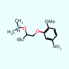 COc1ccc([N+](=O)[O-])cc1OCC(O[SiH](C)C)C(C)(C)C